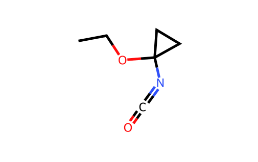 CCOC1(N=C=O)CC1